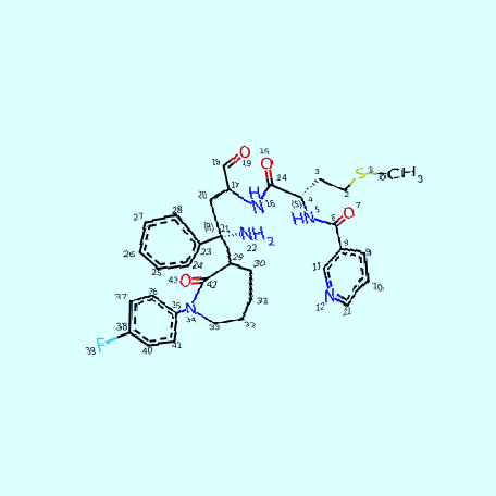 CSCC[C@H](NC(=O)c1cccnc1)C(=O)NC(C=O)C[C@](N)(c1ccccc1)C1CCCCN(c2ccc(F)cc2)C1=O